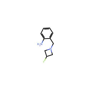 Nc1ccccc1CN1CC(F)C1